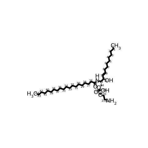 CCCCCCCCC/C=C/[C@@H](O)[C@H](COP(=O)(O)OCCN)NC(=O)CCCCCCCCCCCCCCCCCCC